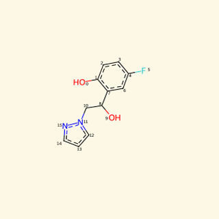 Oc1ccc(F)cc1C(O)Cn1cccn1